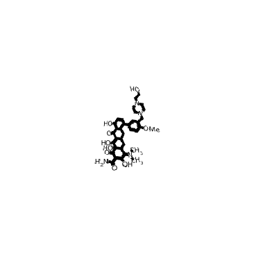 COc1ccc(-c2ccc(O)c3c2CC2CC4C(N(C)C)C(O)=C(C(N)=O)C(=O)C4(O)C(O)=C2C3=O)cc1CN1CCN(CCO)CC1